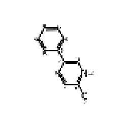 Clc1ccc(-c2c[c]ccc2)cn1